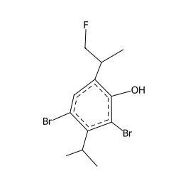 CC(C)c1c(Br)cc(C(C)CF)c(O)c1Br